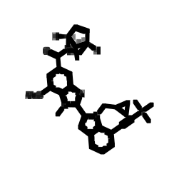 COc1cc(C(=O)N2C[C@H]3C=C[C@@H]2[C@@H]3C)cc2nc(-c3cc4cccc(C#CS(C)(C)C)c4n3CC3CC3)n(C)c12